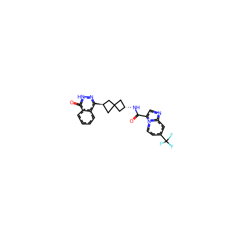 O=C(N[C@H]1CC2(C1)C[C@H](c1n[nH]c(=O)c3ccccc31)C2)c1cnc2cc(C(F)(F)F)ccn12